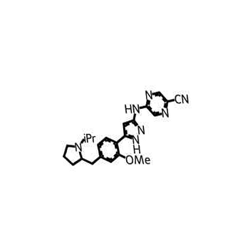 COc1cc(CC2CCCN2C(C)C)ccc1-c1cc(Nc2cnc(C#N)cn2)n[nH]1